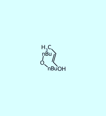 CC=CO.CCCCOCCCC